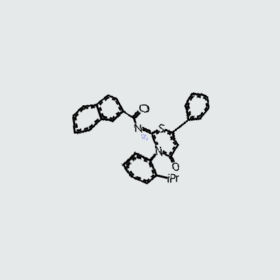 CC(C)c1ccccc1-n1c(=O)cc(-c2ccccc2)s/c1=N\C(=O)c1ccc2ccccc2c1